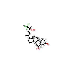 CC(/C=C/C(C)(O)C(F)(F)F)C1CCC2C3C[C@H](O)[C@@H]4CC(=O)CCC4(C)C3CCC12C